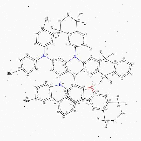 Cc1cc2c(cc1N1c3cc4c(cc3B3c5c1cc(N(c1ccc(C(C)(C)C)cc1)c1ccc(C(C)(C)C)cc1)cc5N(c1ccc(C(C)(C)C)cc1-c1ccccc1)c1ccc5c(oc6cc7c(cc65)C(C)(C)CCC7(C)C)c13)C(C)(C)c1ccccc1C4(C)C)C(C)(C)CCC2(C)C